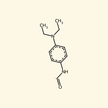 CCN(CC)c1ccc(N[C]=O)cc1